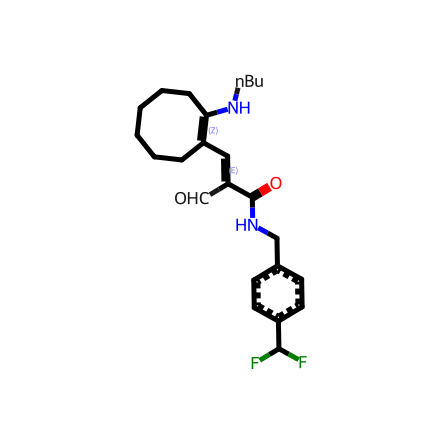 CCCCN/C1=C(\C=C(/C=O)C(=O)NCc2ccc(C(F)F)cc2)CCCCCC1